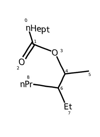 CCCCCCCC(=O)OC(C)C(CC)CCC